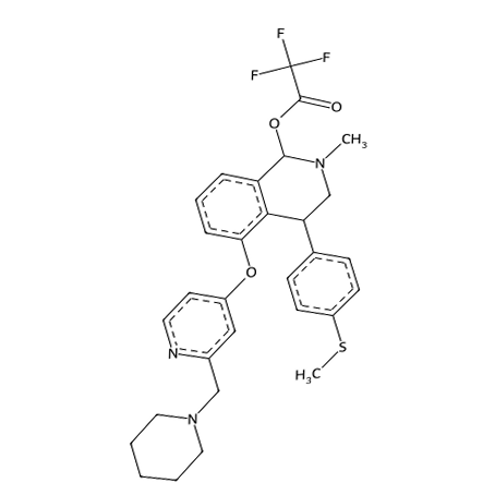 CSc1ccc(C2CN(C)C(OC(=O)C(F)(F)F)c3cccc(Oc4ccnc(CN5CCCCC5)c4)c32)cc1